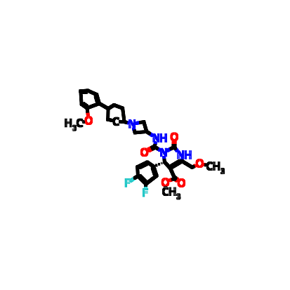 COCC1=C(C(=O)OC)[C@H](c2ccc(F)c(F)c2)N(C(=O)NC2CN(C3CCC(c4ccccc4OC)CC3)C2)C(=O)N1